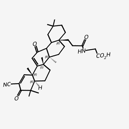 CC1(C)CC[C@]2(CCC(=O)NCC(=O)O)CC[C@]3(C)C(C(=O)C=C4[C@@]5(C)C=C(C#N)C(=O)C(C)(C)[C@@H]5CC[C@]43C)C2C1